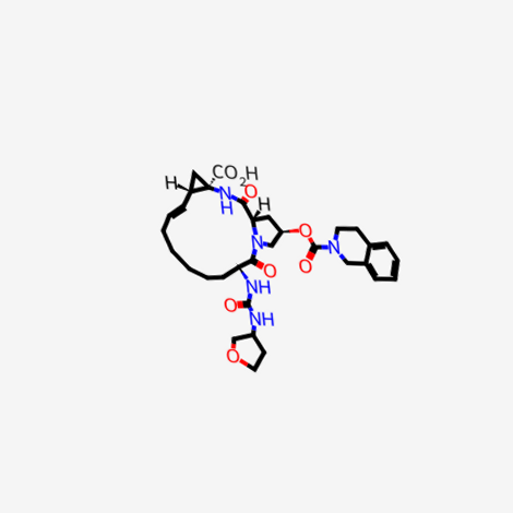 O=C(NC1CCOC1)N[C@H]1CCCCC/C=C/[C@@H]2C[C@@]2(C(=O)O)NC(=O)[C@@H]2C[C@@H](OC(=O)N3CCc4ccccc4C3)CN2C1=O